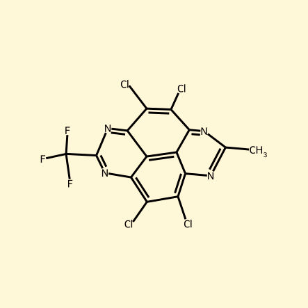 Cc1nc2c(Cl)c(Cl)c3nc(C(F)(F)F)nc4c(Cl)c(Cl)c(n1)c2c34